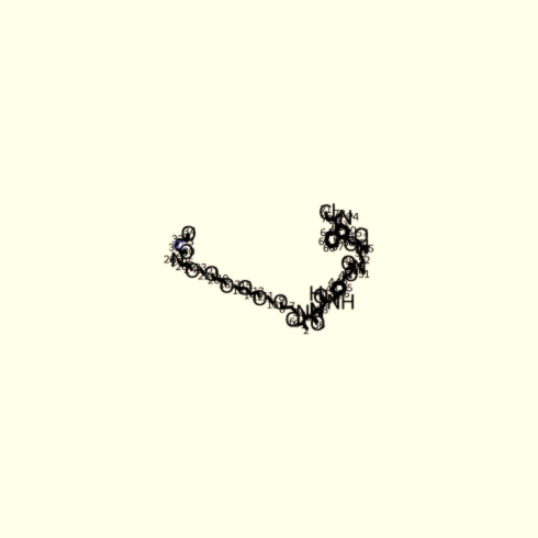 CC(C)C(NC(=O)CCOCCOCCOCCOCCOCCOCCN(C)C(=O)/C=C\C=O)C(=O)NCC(=O)Nc1ccc(COC(=O)N(C)CCN(C)C(=O)Oc2cc3c(c4ccccc24)C(CCl)CN3C)cc1